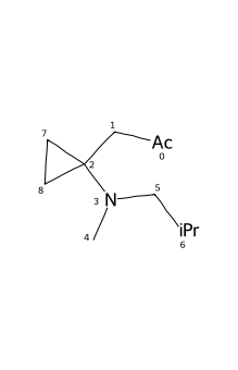 CC(=O)CC1(N(C)CC(C)C)CC1